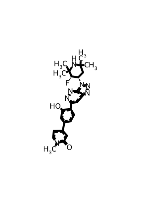 Cn1ccc(-c2ccc(-c3cc4nnn([C@H]5CC(C)(C)NC(C)(C)[C@H]5F)c4nn3)c(O)c2)cc1=O